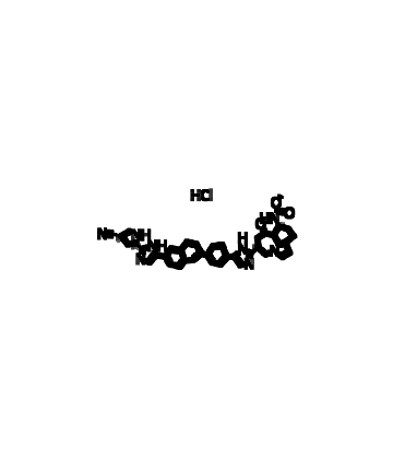 COC(=O)N[C@H]1CCc2ccn3c2C1C(=O)C[C@H](c1ncc(-c2ccc(-c4ccc5cc(-c6cnc([C@@H]7C[C@H](C#N)CN7)[nH]6)ccc5c4)cc2)[nH]1)C3.Cl